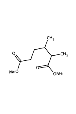 COC(=O)CCC(C)C(C)C(=O)OC